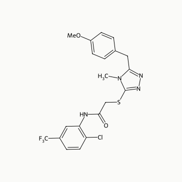 COc1ccc(Cc2nnc(SCC(=O)Nc3cc(C(F)(F)F)ccc3Cl)n2C)cc1